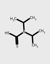 CC(C)N(C(=S)S)C(C)C